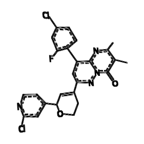 Cc1nc2c(-c3ccc(Cl)cc3F)cc(C3=CC(c4ccnc(Cl)c4)OCC3)nn2c(=O)c1C